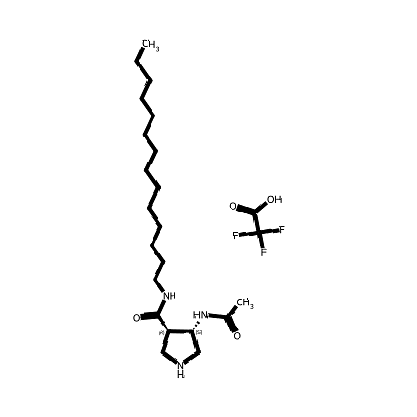 CCCCCCCCCCCCCCNC(=O)[C@@H]1CNC[C@H]1NC(C)=O.O=C(O)C(F)(F)F